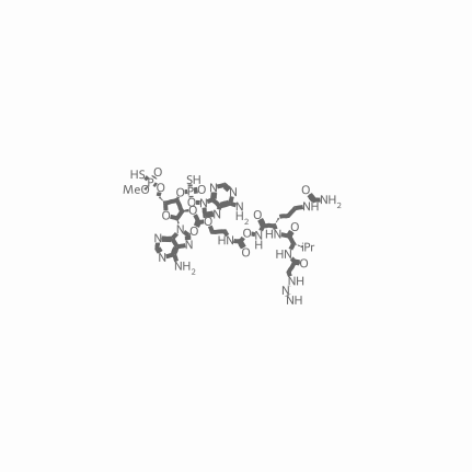 CO[P@](=O)(S)OC[C@H]1O[C@@H](n2cnc3c(N)ncnc32)[C@H](OC(=O)OCCNC(=O)ONC(=O)[C@H](CCCNC(N)=O)NC(=O)[C@@H](NC(=O)CNN=N)C(C)C)[C@@H]1OP(=O)(S)On1cnc2c(N)ncnc21